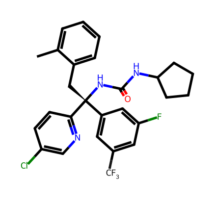 Cc1ccccc1C[C@@](NC(=O)NC1CCCC1)(c1cc(F)cc(C(F)(F)F)c1)c1ccc(Cl)cn1